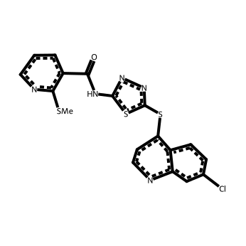 CSc1ncccc1C(=O)Nc1nnc(Sc2ccnc3cc(Cl)ccc23)s1